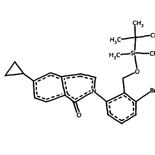 CC(C)(C)[Si](C)(C)OCc1c(Br)cccc1-n1ccc2cc(C3CC3)ccc2c1=O